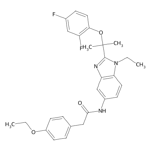 CCOc1ccc(CC(=O)Nc2ccc3c(c2)nc(C(C)(C)Oc2ccc(F)cc2F)n3CC)cc1